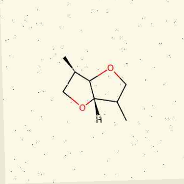 CC1COC2[C@H]1OC[C@H]2C